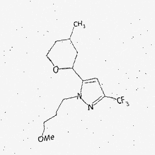 COCCCn1nc(C(F)(F)F)cc1C1CC(C)CCO1